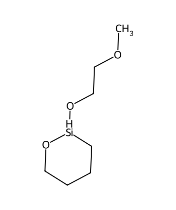 COCCO[SiH]1CCCCO1